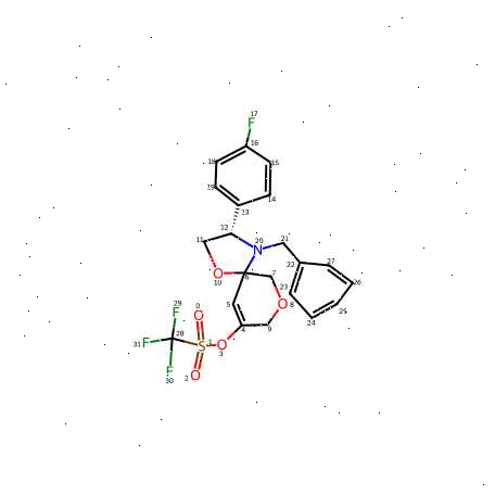 O=S(=O)(OC1=CC2(COC1)OC[C@H](c1ccc(F)cc1)N2Cc1ccccc1)C(F)(F)F